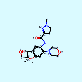 CN1CCC(C(=O)Nc2cc3c(cc2N2CCOCC2)O[C@@](C)(CO)C3)=N1